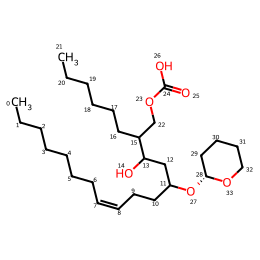 CCCCCCC/C=C\CCC(CC(O)C(CCCCCC)COC(=O)O)O[C@@H]1CCCCO1